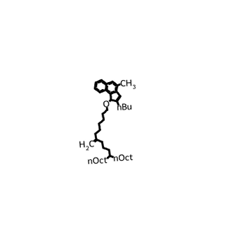 C=C(CCCCCCOC1C(CCCC)=Cc2c(C)cc3ccccc3c21)CCCC(CCCCCCCC)CCCCCCCC